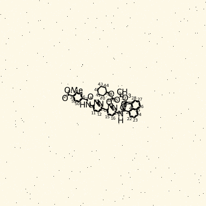 COC(=O)c1ccc(C(=O)Nc2ccc(-c3ccc(NC(=O)c4cccc5cccc(C(=O)OC(C)OC(=O)OC6CCCCC6)c45)nn3)nn2)cc1